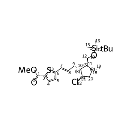 COC(=O)c1ccc(C=CC[C@@H]2[C@@H](CO[Si](C)(C)C(C)(C)C)[C@H](C)C[C@H]2Cl)s1